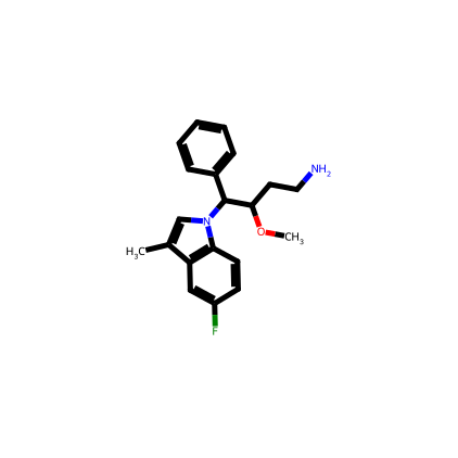 COC(CCN)C(c1ccccc1)n1cc(C)c2cc(F)ccc21